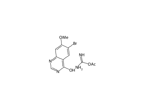 CC(=O)OC(=N)N.COc1cc2ncnc(O)c2cc1Br